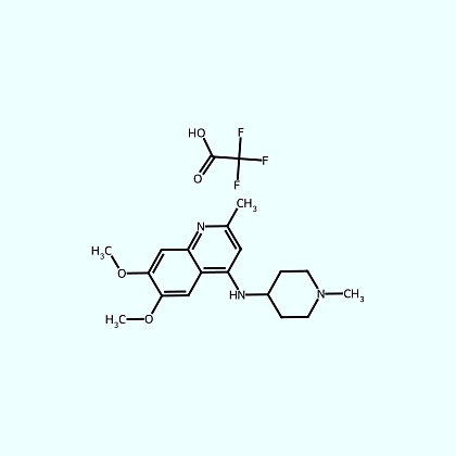 COc1cc2nc(C)cc(NC3CCN(C)CC3)c2cc1OC.O=C(O)C(F)(F)F